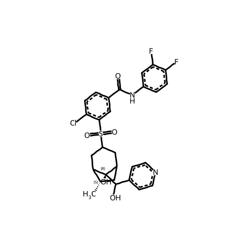 C[C@H]1CC2CC(S(=O)(=O)c3cc(C(=O)Nc4ccc(F)c(F)c4)ccc3Cl)CC1[C@@]2(O)C(O)c1ccncc1